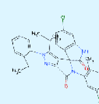 CCc1ccccc1-n1nc2c(c1C(C)C)C1(C(=O)Nc3cc(Cl)ccc31)N(c1cc(Cl)ccc1C)C2=O